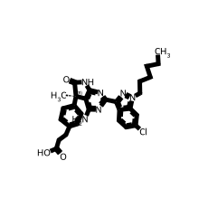 CCCCCCn1nc(-c2nc(N)c3c(n2)NC(=O)[C@]3(C)c2ccc(CCC(=O)O)cc2)c2ccc(Cl)cc21